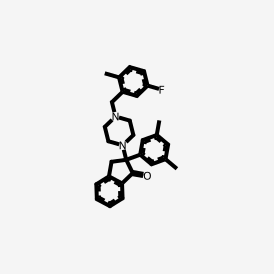 Cc1cc(C)cc(C2(N3CCN(Cc4cc(F)ccc4C)CC3)Cc3ccccc3C2=O)c1